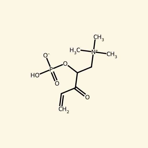 C=CC(=O)C(C[N+](C)(C)C)OP(=O)([O-])O